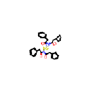 O=C(Cc1ccccc1)N(SSN(C(=O)Cc1ccccc1)C(=O)Cc1ccccc1)C(=O)Cc1ccccc1